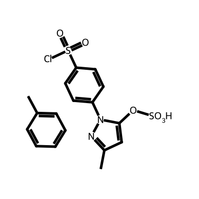 Cc1cc(OS(=O)(=O)O)n(-c2ccc(S(=O)(=O)Cl)cc2)n1.Cc1ccccc1